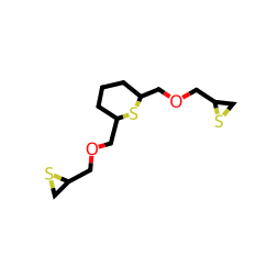 C1CC(COCC2CS2)SC(COCC2CS2)C1